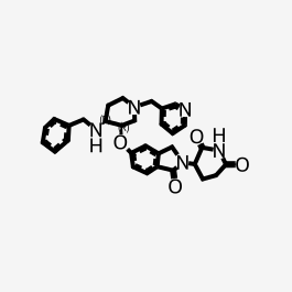 O=C1CCC(N2Cc3cc(O[C@@H]4CN(Cc5cccnc5)CC[C@H]4NCc4ccccc4)ccc3C2=O)C(=O)N1